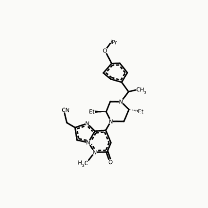 CC[C@H]1CN(C(C)c2ccc(OC(C)C)cc2)[C@H](CC)CN1c1cc(=O)n(C)n2cc(CC#N)nc12